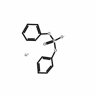 O=P([O-])(Oc1ccccc1)Oc1ccccc1.[Li+]